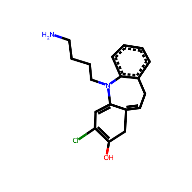 NCCCCN1C2=CC(Cl)=C(O)CC2=CCc2ccccc21